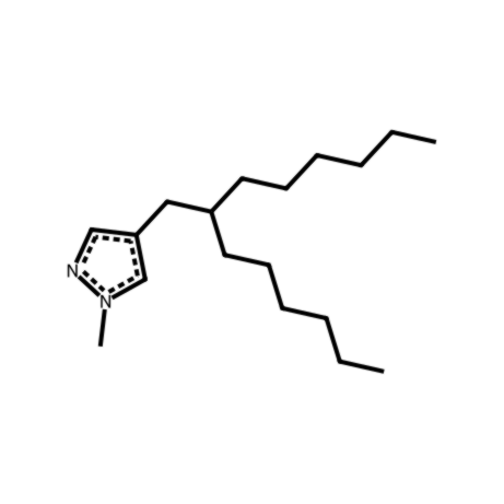 CCCCCCC(CCCCCC)Cc1cnn(C)c1